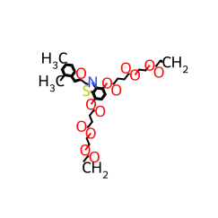 C=CC(=O)OCCOC(=O)CCC(=O)Oc1ccc(OC(=O)CCC(=O)OCCOC(=O)C=C)c2sc(-c3cc4c(C)cc(C)cc4o3)nc12